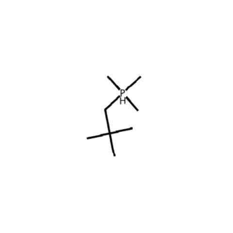 CC(C)(C)C[PH](C)(C)C